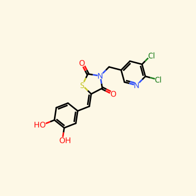 O=C1S/C(=C\c2ccc(O)c(O)c2)C(=O)N1Cc1cnc(Cl)c(Cl)c1